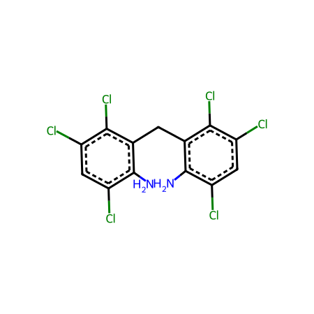 Nc1c(Cl)cc(Cl)c(Cl)c1Cc1c(N)c(Cl)cc(Cl)c1Cl